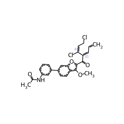 C=C/C=C(C(=O)c1oc2cc(-c3cccc(NC(C)=O)c3)ccc2c1OC)\C(Cl)=C/CCl